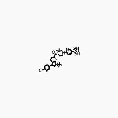 CC1(C)CN(c2ccc(P(=O)(O)O)cn2)CCN1C(=O)c1ccc2c(-c3ccc(Cl)c(F)c3)cn(C(C)(C)C)c2n1